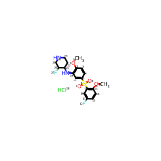 COc1ccc(S(=O)(=O)c2cc(F)ccc2OC)cc1NC1CCNCC1F.Cl